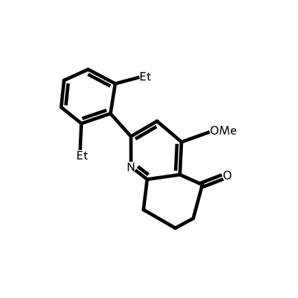 CCc1cccc(CC)c1-c1cc(OC)c2c(n1)CCCC2=O